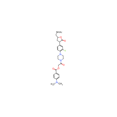 CC(=O)NCC1CC(c2ccc(N3CCN(C(=O)COC(=O)c4ccc(N(C)C)cc4)CC3)c(F)c2)C(=O)O1